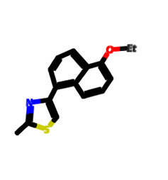 CCOc1cccc2c(-c3csc(C)n3)cccc12